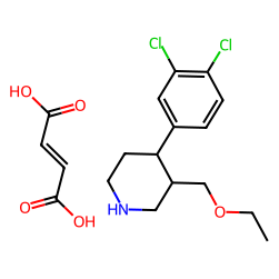 CCOCC1CNCCC1c1ccc(Cl)c(Cl)c1.O=C(O)C=CC(=O)O